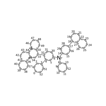 c1ccc(-c2cc(N(c3ccccc3)c3ccc(-c4cccc5ccccc45)cc3)ccc2-c2cc3c4ccccc4ccc3c3ccccc23)cc1